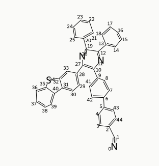 N#Cc1ccc(-c2ccc(-c3nc(-c4ccccc4)c(-c4ccccc4)nc3-c3ccc4c(c3)sc3ccccc34)cc2)cc1